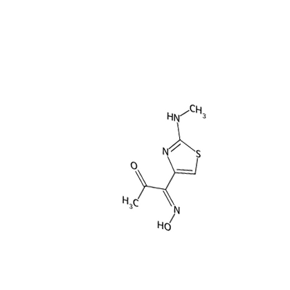 CNc1nc(/C(=N/O)C(C)=O)cs1